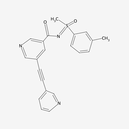 Cc1cccc(S(C)(=O)=NC(=O)c2cncc(C#Cc3cccnc3)c2)c1